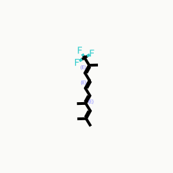 CC(C)=C/C(C)=C/C=C/C=C(\C)C(F)(F)F